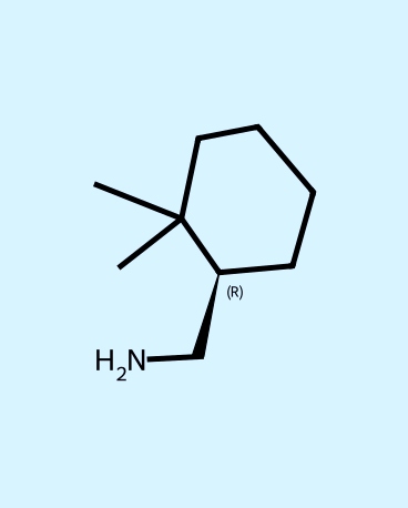 CC1(C)CCCC[C@H]1CN